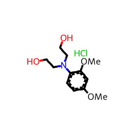 COc1ccc(N(CCO)CCO)c(OC)c1.Cl